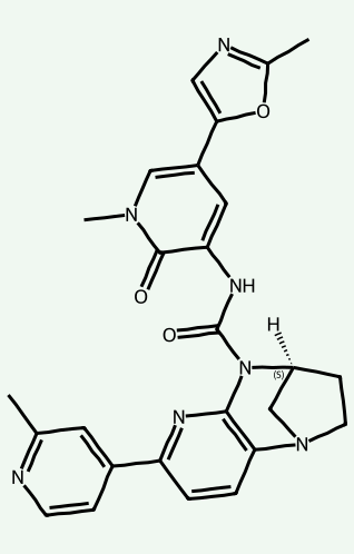 Cc1cc(-c2ccc3c(n2)N(C(=O)Nc2cc(-c4cnc(C)o4)cn(C)c2=O)[C@H]2CCN3C2)ccn1